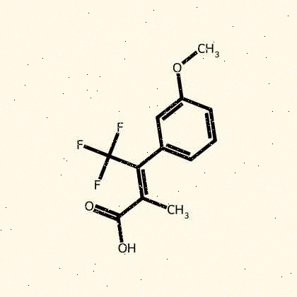 COc1cccc(/C(=C(\C)C(=O)O)C(F)(F)F)c1